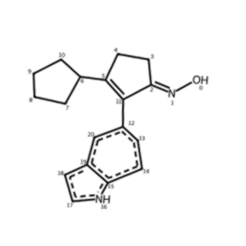 ON=C1CCC(C2CCCC2)=C1c1ccc2[nH]ccc2c1